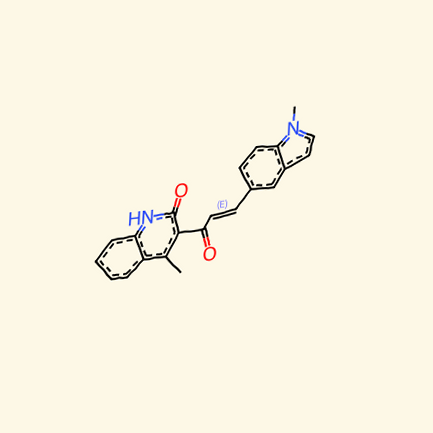 Cc1c(C(=O)/C=C/c2ccc3c(ccn3C)c2)c(=O)[nH]c2ccccc12